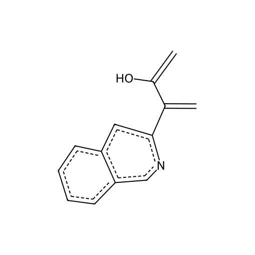 C=C(O)C(=C)c1cc2ccccc2cn1